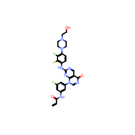 C=CC(=O)Nc1cc(F)cc(-n2cnc(=O)c3cnc(Nc4ccc(N5CCN(CCO)CC5)c(F)c4F)nc32)c1